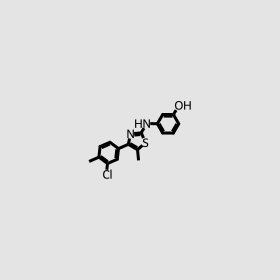 Cc1ccc(-c2nc(Nc3cccc(O)c3)sc2C)cc1Cl